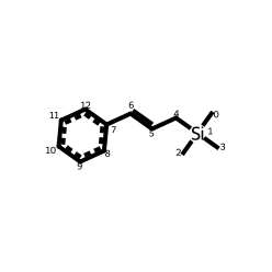 C[Si](C)(C)CC=Cc1ccccc1